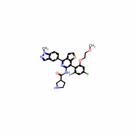 COCCOc1cc(F)cc(F)c1-c1c(NC(=O)C2CCNC2)nc(-c2ccc3c(cnn3C)c2)c2ccsc12